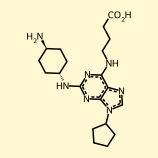 N[C@H]1CC[C@H](Nc2nc(NCCCC(=O)O)c3ncn(C4CCCC4)c3n2)CC1